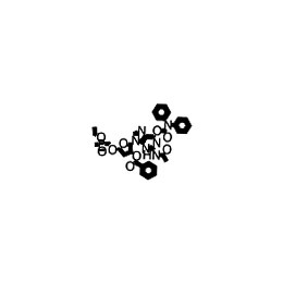 CCOP(C)(=O)CO[C@@H]1C[C@H](OC(=O)c2ccccc2)[C@H](n2cnc3c(OC(=O)N(c4ccccc4)c4ccccc4)nc(NC(C)=O)nc32)O1